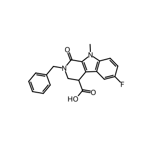 Cn1c2c(c3cc(F)ccc31)C(C(=O)O)CN(Cc1ccccc1)C2=O